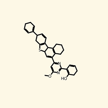 COc1cc(C2=CC3SC4=C(C=CC(C5=CCCC=C5)C4)C3C3=C2CCCC3)nc(C2=C(O)CCC=C2)n1